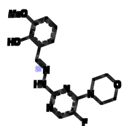 COc1cccc(/C=N/Nc2ncc(F)c(N3CCOCC3)n2)c1O